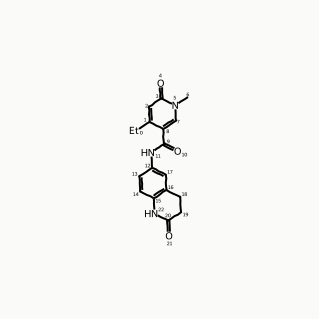 CCc1cc(=O)n(C)cc1C(=O)Nc1ccc2c(c1)CCC(=O)N2